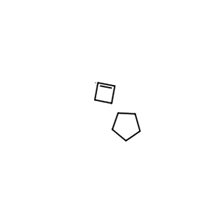 C1CCCC1.[C]1=CCC1